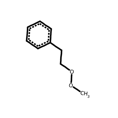 COOCCc1ccccc1